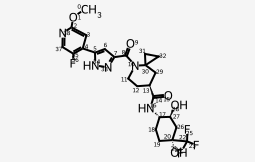 COc1cc(-c2cc(C(=O)N3CC[C@H](C(=O)N[C@H]4CC[C@](O)(C(F)(F)F)C[C@@H]4O)CC34CC4)n[nH]2)c(F)cn1